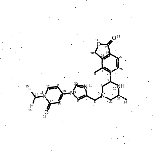 Cc1c([C@@H]2CN(Cc3cn(-c4ccn(C(F)F)c(=O)c4)cn3)C[C@H](C)N2)ccc2c1COC2=O